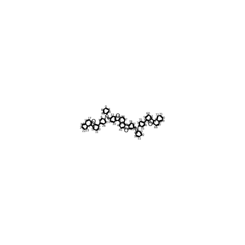 c1ccc(N(c2ccc(-c3cccc4c3oc3ccc5ccccc5c34)cc2)c2ccc3c(c2)oc2ccc4c(ccc5oc6cc(N(c7ccccc7)c7ccc(-c8cccc9c8oc8ccc%10ccccc%10c89)cc7)ccc6c54)c23)cc1